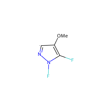 COc1[c]nn(F)c1F